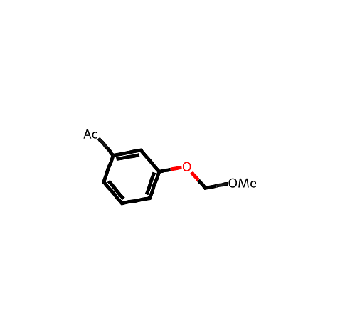 COCOc1cccc(C(C)=O)c1